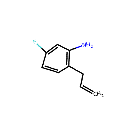 C=CCc1ccc(F)cc1N